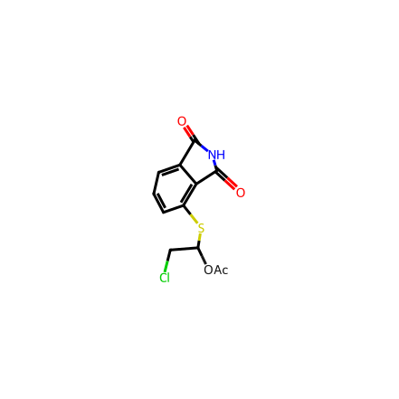 CC(=O)OC(CCl)Sc1cccc2c1C(=O)NC2=O